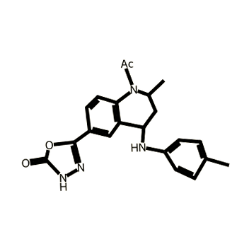 CC(=O)N1c2ccc(-c3n[nH]c(=O)o3)cc2C(Nc2ccc(C)cc2)CC1C